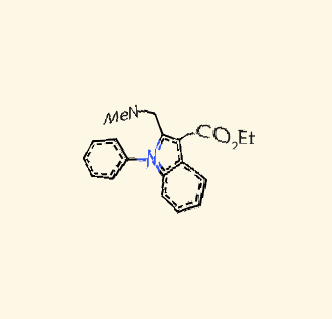 CCOC(=O)c1c(CNC)n(-c2ccccc2)c2ccccc12